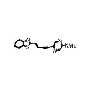 CNc1cnc(C#C/C=C/c2nc3ccccc3s2)cn1